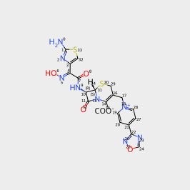 Nc1nc(C(=NO)C(=O)N[C@@H]2C(=O)N3C(C(=O)[O-])=C(C[n+]4ccc(-c5ncon5)cc4)CS[C@@H]23)cs1